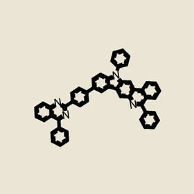 c1ccc(-c2nc(-c3ccc(-c4ccc5c(c4)c4cc6nc(-c7ccccc7)c7ccccc7c6cc4n5-c4ccccc4)cc3)nc3ccccc23)cc1